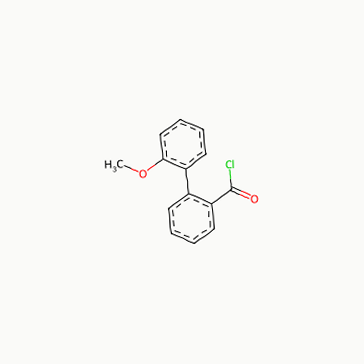 COc1ccccc1-c1ccccc1C(=O)Cl